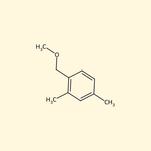 COCc1[c]cc(C)cc1C